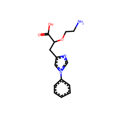 NCCOC(Cc1cn(-c2ccccc2)cn1)C(=O)O